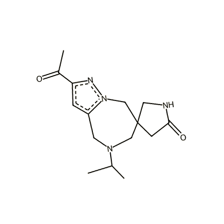 CC(=O)c1cc2n(n1)CC1(CNC(=O)C1)CN(C(C)C)C2